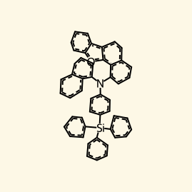 c1ccc([Si](c2ccccc2)(c2ccccc2)c2ccc(N(c3cccc4ccccc34)c3cccc4ccc5c6ccccc6oc5c34)cc2)cc1